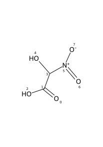 O=C(O)C(O)[N+](=O)[O-]